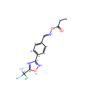 CCC(=O)ON=Cc1ccc(-c2noc(C(F)(F)F)n2)cc1